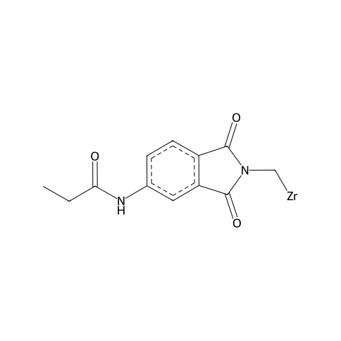 CCC(=O)Nc1ccc2c(c1)C(=O)N([CH2][Zr])C2=O